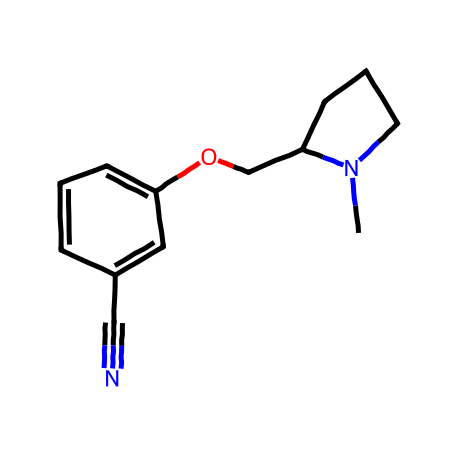 CN1CCCC1COc1cccc(C#N)c1